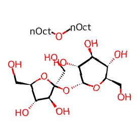 CCCCCCCCOCCCCCCCC.OC[C@H]1O[C@@](CO)(O[C@H]2O[C@H](CO)[C@@H](O)[C@H](O)[C@H]2O)[C@@H](O)[C@@H]1O